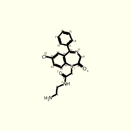 NCCNC(=O)CN1C(=O)CN=C(c2ccccc2)c2cc(Cl)ccc21